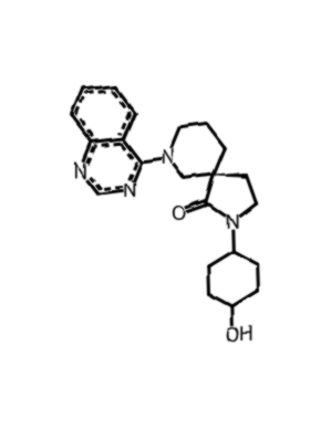 O=C1N(C2CCC(O)CC2)CC[C@@]12CCCN(c1ncnc3ccccc13)C2